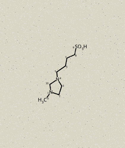 CN1CCN(CCCCS(=O)(=O)O)C1